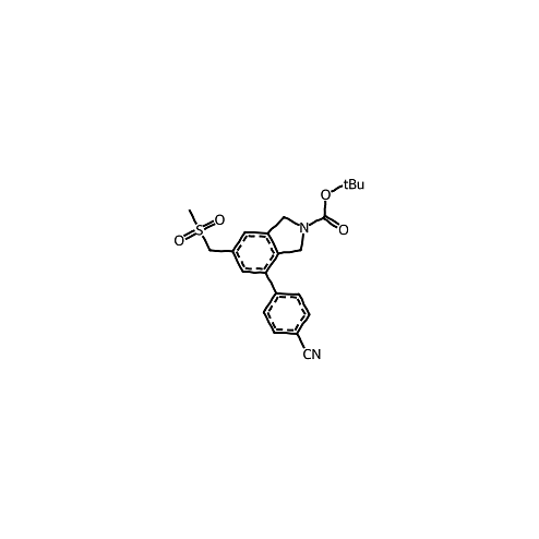 CC(C)(C)OC(=O)N1Cc2cc(CS(C)(=O)=O)cc(-c3ccc(C#N)cc3)c2C1